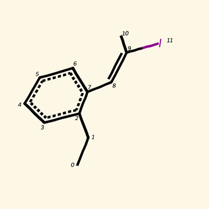 CCc1ccccc1/C=C(\C)I